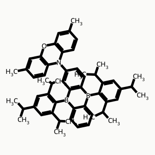 Cc1ccc2c(c1)Oc1cc(C)ccc1N2c1ccc2c(c1)B(c1c(C(C)C)cc(C(C)C)cc1C(C)C)c1ccccc1B2c1c(C(C)C)cc(C(C)C)cc1C(C)C